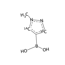 Cn1[14cH]c(B(O)O)[14cH]n1